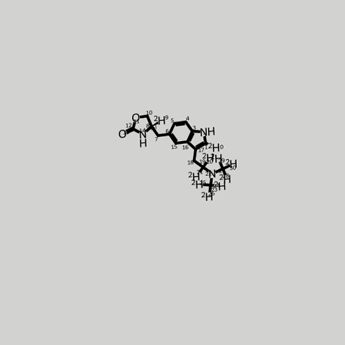 [2H]c1[nH]c2ccc(C[C@@]3([2H])COC(=O)N3)cc2c1CC([2H])([2H])N(C([2H])([2H])[2H])C([2H])([2H])[2H]